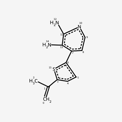 C=C(C)c1ccc(-c2ccnc(N)c2N)s1